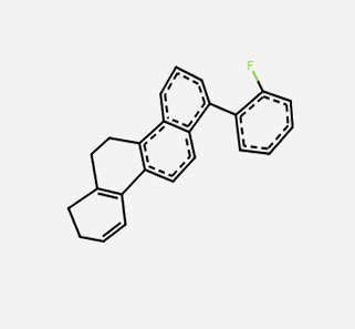 Fc1ccccc1-c1cccc2c3c(ccc12)C1=C(CCC=C1)CC3